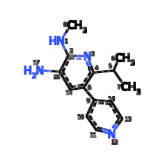 CNc1nc(C(C)C)c(-c2ccncc2)cc1N